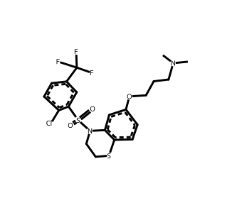 CN(C)CCCOc1ccc2c(c1)N(S(=O)(=O)c1cc(C(F)(F)F)ccc1Cl)CCS2